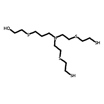 OCCSCCCN(CCSCCS)CCSCCS